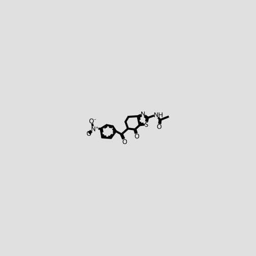 CC(=O)Nc1nc2c(s1)C(=O)C(C(=O)c1ccc([N+](=O)[O-])cc1)CC2